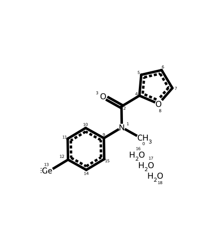 CN(C(=O)c1ccco1)c1cc[c]([Ge])cc1.O.O.O